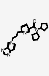 O=C(c1ccc(CCCn2ccc3ncnc-3c2)nc1)N(C1CCCC1)C1CCCC1